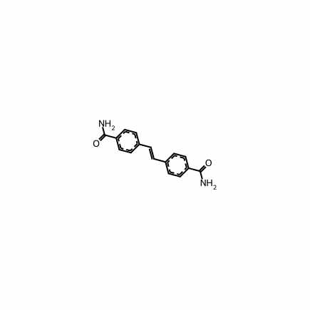 NC(=O)c1ccc(/C=C/c2ccc(C(N)=O)cc2)cc1